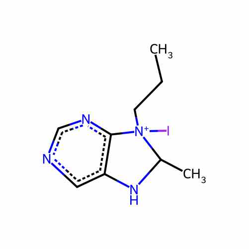 CCC[N+]1(I)c2ncncc2NC1C